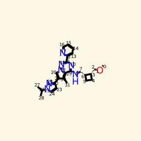 COC[C@@H]1CC[C@@H]1CNc1nc(-c2ccccn2)nn2cc(-c3ccn(C(C)C)n3)c(C)c12